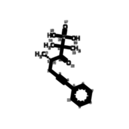 C[C@@H](CC#Cc1ccccc1)C(=O)C(C)(C)P(=O)(O)O